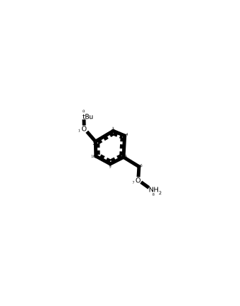 CC(C)(C)Oc1ccc(CON)cc1